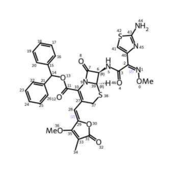 CO/N=C(\C(=O)N[C@@H]1C(=O)N2C(C(=O)OC(c3ccccc3)c3ccccc3)=C(/C=C3\OC(=O)C(C)=C3OC)CS[C@H]12)c1csc(N)n1